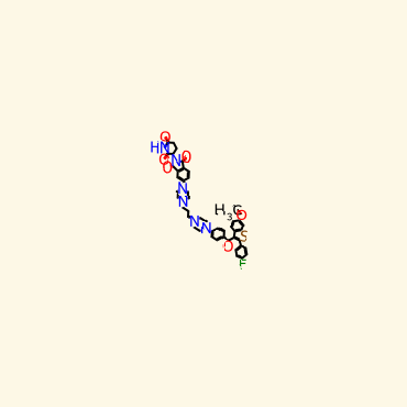 COc1ccc2c(C(=O)c3ccc(N4CCN(CCCN5CCN(c6ccc7c(c6)C(=O)N(C6CCC(=O)NC6=O)C7=O)CC5)CC4)cc3)c(-c3ccc(F)cc3)sc2c1